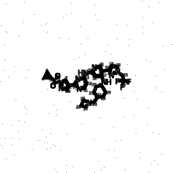 O=S(=O)(C1CC1)n1cc(-c2nccc(Nc3cc(NC4CCC(CN5CCC5)CC4)c(-c4ccn(CC(F)(F)F)n4)cn3)n2)cn1